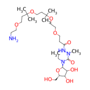 CCN(C(=O)N(C)NC(=O)CCOCCOC(C)(C)CCOC(C)(C)CCOCCN)[C@@H]1O[C@H](CO)C(O)C1O